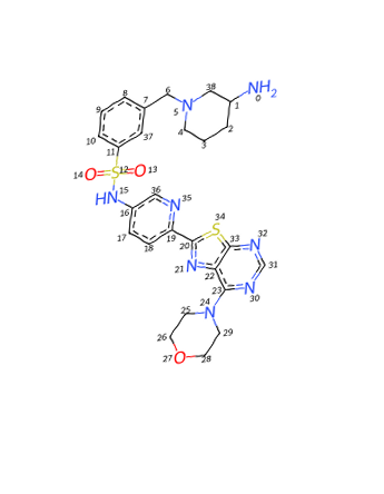 NC1CCCN(Cc2cccc(S(=O)(=O)Nc3ccc(-c4nc5c(N6CCOCC6)ncnc5s4)nc3)c2)C1